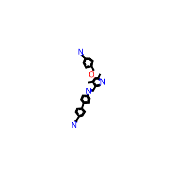 Cc1ncc(/C=N/c2ccc(-c3ccc(C#N)cc3)cc2)c(C)c1OCc1ccc(C#N)cc1